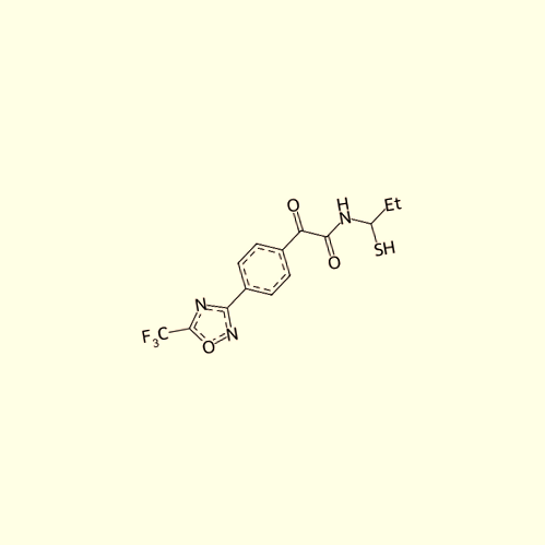 CCC(S)NC(=O)C(=O)c1ccc(-c2noc(C(F)(F)F)n2)cc1